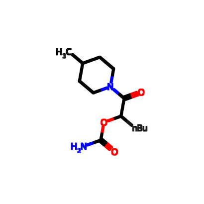 CCCCC(OC(N)=O)C(=O)N1CCC(C)CC1